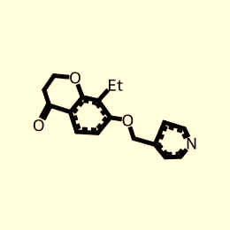 CCc1c(OCc2ccncc2)ccc2c1OCCC2=O